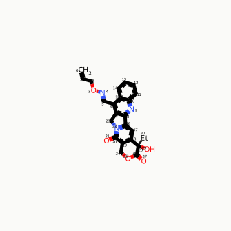 C=CCON=Cc1c2c(nc3ccccc13)-c1cc3c(c(=O)n1C2)COC(=O)[C@]3(O)CC